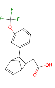 O=C(O)CC1C2C=CC(C2)C1c1cccc(OC(F)(F)F)c1